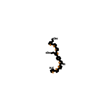 CCCCCCCCCCCCc1ccsc1-c1ccc(-c2ccc(-c3sc(-c4ccc(-c5cc(CC)c(-c6ccc(-c7ccc(-c8sccc8C)s7)s6)s5)cc4)cc3CCCCCCCCCCCC)s2)s1